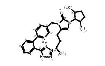 CCCCc1cn(C2C(C)CCC2C)c(=O)n1Cc1ccc(-c2ccccc2-c2nnn[nH]2)nc1